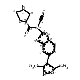 Cc1noc(C)c1-c1ccc2nc(N(C#N)C(=O)[C@H]3CCNC3)sc2n1